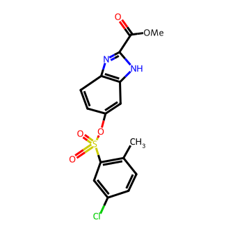 COC(=O)c1nc2ccc(OS(=O)(=O)c3cc(Cl)ccc3C)cc2[nH]1